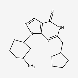 NC1CCCC(n2ncc3c(=O)[nH]c(CC4CCCC4)nc32)C1